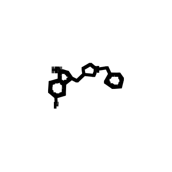 Fc1ccc2[nH]cc(CC3CCN(Cc4ccccc4)C3)c2c1